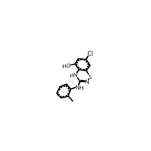 Cc1ccccc1NC1=NSc2cc(Cl)cc(O)c2N1